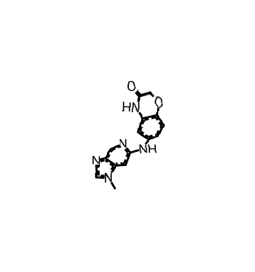 Cn1cnc2cnc(Nc3ccc4c(c3)NC(=O)CO4)cc21